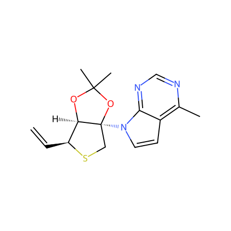 C=C[C@@H]1SC[C@]2(n3ccc4c(C)ncnc43)OC(C)(C)O[C@H]12